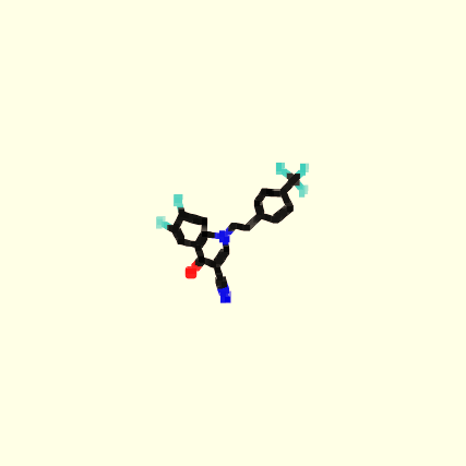 N#Cc1cn(CCc2ccc(C(F)(F)F)cc2)c2cc(F)c(F)cc2c1=O